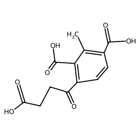 Cc1c(C(=O)O)ccc(C(=O)CCC(=O)O)c1C(=O)O